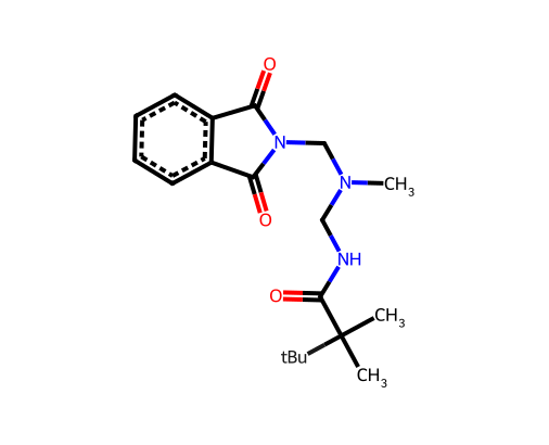 CN(CNC(=O)C(C)(C)C(C)(C)C)CN1C(=O)c2ccccc2C1=O